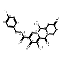 O=C1CCN2C(=O)c3c(O)c(=O)c(C(=O)NCc4ccc(F)cc4)cn3C(O)C2C1